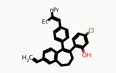 C=Cc1ccc2c(c1)CCCC(c1ccc(Cl)cc1O)=C2c1ccc(/C=C(\CC)CCC)cc1